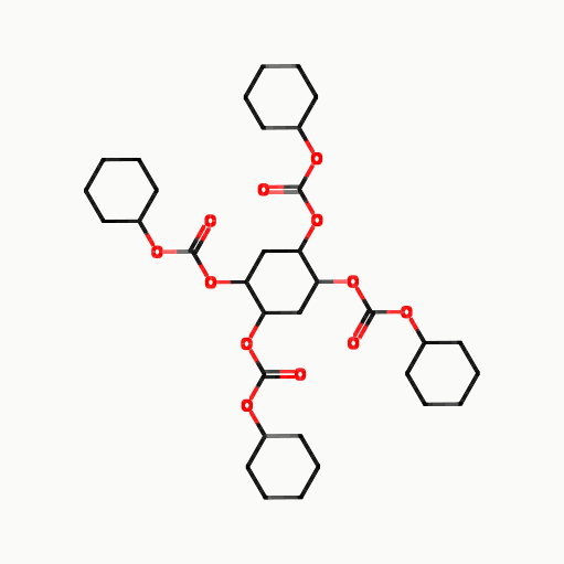 O=C(OC1CCCCC1)OC1CC(OC(=O)OC2CCCCC2)C(OC(=O)OC2CCCCC2)CC1OC(=O)OC1CCCCC1